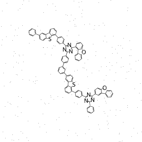 c1ccc(-c2ccc3sc4c(-c5ccc(-c6nc(-c7ccc(-c8cccc(-c9ccc%10sc%11c(-c%12ccc(-c%13nc(-c%14ccccc%14)nc(-c%14ccc%15oc%16ccccc%16c%15c%14)n%13)cc%12)cccc%11c%10c9)c8)cc7)nc(-c7cccc8oc9ccccc9c78)n6)cc5)cccc4c3c2)cc1